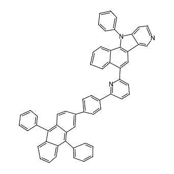 c1ccc(-c2c3ccccc3c(-c3ccccc3)c3cc(-c4ccc(-c5cccc(-c6cc7c8cnccc8n(-c8ccccc8)c7c7ccccc67)n5)cc4)ccc23)cc1